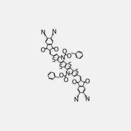 N#Cc1cc2c(cc1C#N)C(=O)C(=Cc1cc3c(s1)c1sc4c(sc5c6sc(C=C7C(=O)c8cc(C#N)c(C#N)cc8C7=O)cc6n(C(=O)OCc6ccccc6)c54)c1n3C(=O)OCc1ccccc1)C2=O